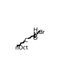 CCCCCCCCC=CCCCCCCCC(=O)NCCBr